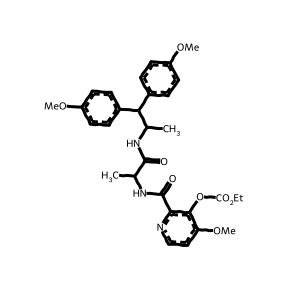 CCOC(=O)Oc1c(OC)ccnc1C(=O)NC(C)C(=O)NC(C)C(c1ccc(OC)cc1)c1ccc(OC)cc1